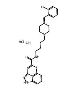 Cl.Cl.O=C(NCCCCN1CCC(=Cc2ccccc2Cl)CC1)C1=Cc2n[nH]c3cccc(c23)S1